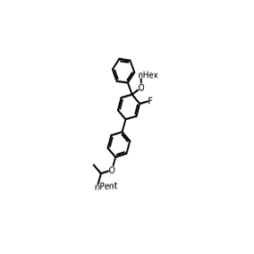 CCCCCCOC1(c2ccccc2)C=CC(c2ccc(OC(C)CCCCC)cc2)C=C1F